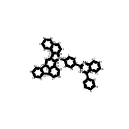 c1ccc(-c2nc(-c3ccc(-n4c5ccc6ccccc6c5c5cc6c7c(cccc7c54)-c4ccccc4-6)cc3)nc3ccccc23)cc1